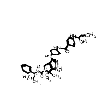 C=CC(O)Nc1ccc(C(=O)NC2CCC(Nc3n[nH]c4c3CN(C(=O)N[C@H](CN(C)C)c3ccccc3)C4(C)C)CC2)cc1